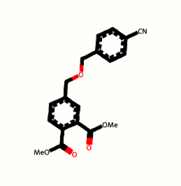 COC(=O)c1ccc(COCc2ccc(C#N)cc2)cc1C(=O)OC